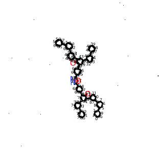 c1ccc(-c2cccc(-c3ccc4oc5c(-c6ccc(-c7nnc(-c8ccc(-c9cc(-c%10cccc(-c%11ccccc%11)c%10)cc%10c9oc9ccc(-c%11cccc(-c%12ccccc%12)c%11)cc9%10)cc8)o7)cc6)cc(-c6cccc(-c7ccccc7)c6)cc5c4c3)c2)cc1